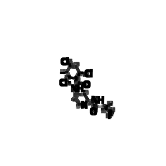 O=C(Nc1ccnc(NC(=O)[C@@H]2C[C@H]2F)c1)c1c(Cl)cc(Cl)cc1Cl